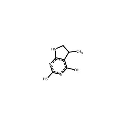 CC1CNc2nc(S)nc(O)c21